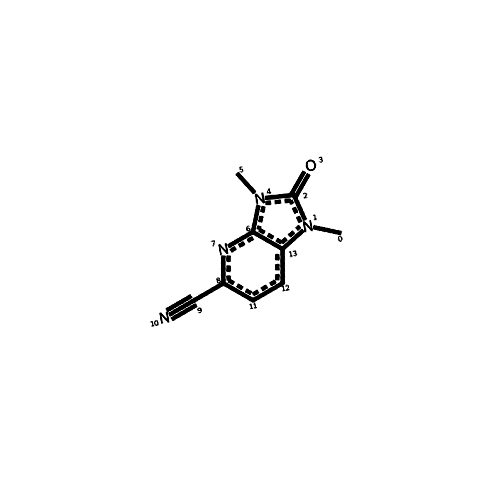 Cn1c(=O)n(C)c2nc(C#N)ccc21